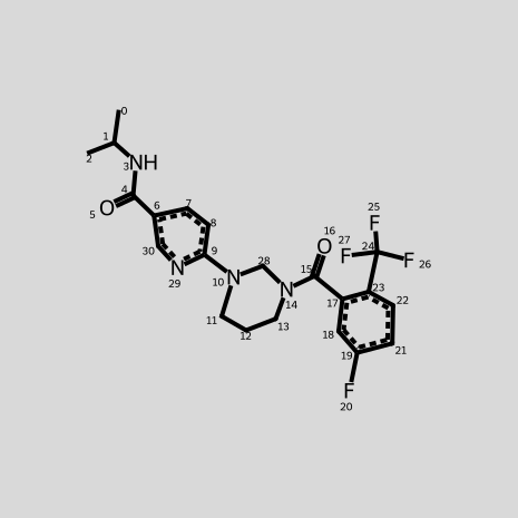 CC(C)NC(=O)c1ccc(N2CCCN(C(=O)c3cc(F)ccc3C(F)(F)F)C2)nc1